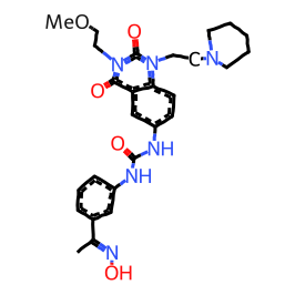 COCCn1c(=O)c2cc(NC(=O)Nc3cccc(C(C)=NO)c3)ccc2n(CCN2CCCCC2)c1=O